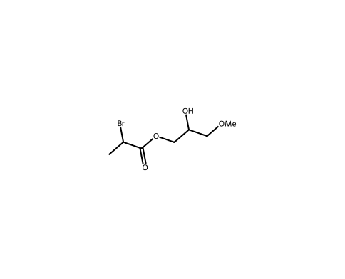 COCC(O)COC(=O)C(C)Br